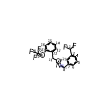 FC(F)c1cccc(/[C]=N\OCc2ccccc2OC(F)(F)F)c1